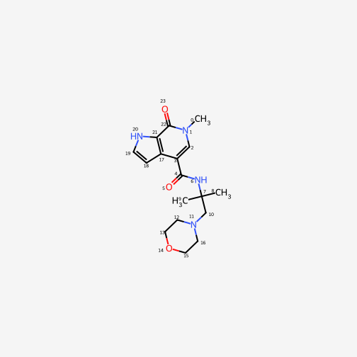 Cn1cc(C(=O)NC(C)(C)CN2CCOCC2)c2cc[nH]c2c1=O